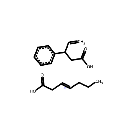 C=CC(CC(=O)O)c1ccccc1.CCC/C=C/CC(=O)O